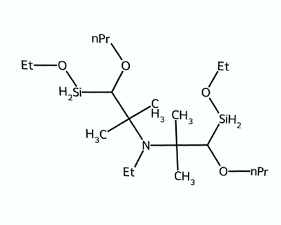 CCCOC([SiH2]OCC)C(C)(C)N(CC)C(C)(C)C(OCCC)[SiH2]OCC